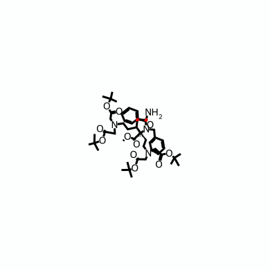 COC(=O)[C@](CCN(CC(=O)OC(C)(C)C)CC(=O)OC(C)(C)C)(C(CCN(CC(=O)OC(C)(C)C)CC(=O)OC(C)(C)C)CC(N)=O)N(Cc1ccccc1)Cc1ccccc1